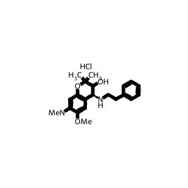 CNc1cc2c(cc1OC)[C@H](NCCc1ccccc1)C(O)C(C)(C)O2.Cl